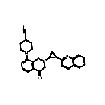 N#CC1CCN(c2cccc3c2CN(C2CC2c2ccc4ccccc4n2)CC3=O)CC1